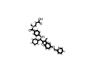 Cc1c(C(Nc2ccc(C(=O)N(C)CCC(=O)O)cc2)C2CCCCC2)oc2ccc(OCc3ccccn3)cc12